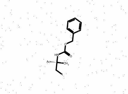 CC(=O)[C@](C)(CI)NC(=O)OCc1ccccc1